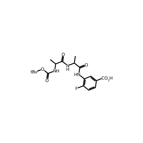 CC(NC(=O)OC(C)(C)C)C(=O)NC(C)C(=O)Nc1cc(C(=O)O)ccc1F